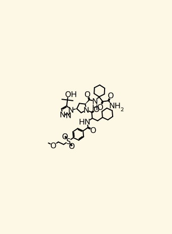 COCCS(=O)(=O)c1ccc(C(=O)NC(CC2CCCCC2)C(=O)N2C[C@@H](n3nncc3C(C)(C)O)C[C@H]2C(=O)NC2(C(=O)C(N)=O)CCCCC2)cc1